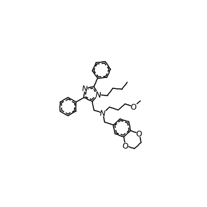 CCCCn1c(-c2ccccc2)nc(-c2ccccc2)c1CN(CCCOC)Cc1ccc2c(c1)OCCO2